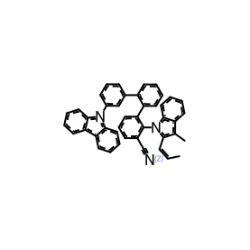 C/C=C\c1c(C)c2ccccc2n1-c1c(C#N)cccc1-c1ccccc1-c1cccc(-n2c3ccccc3c3ccccc32)c1